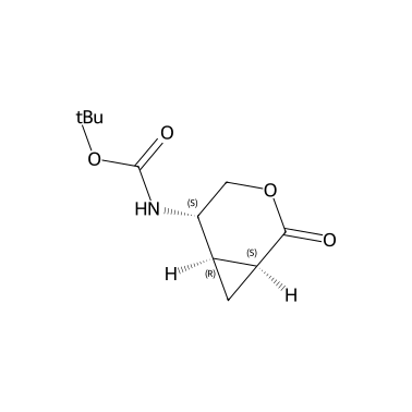 CC(C)(C)OC(=O)N[C@@H]1COC(=O)[C@H]2C[C@H]21